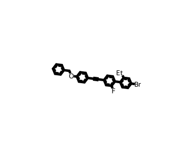 CCc1cc(Br)ccc1-c1ccc(C#Cc2ccc(OCc3ccccc3)cc2)cc1F